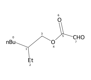 CCCCC(CC)COC(=O)C=O